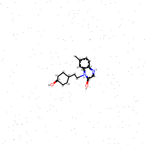 Cc1ccc2ncc(=O)n(CCC3CCC(=O)CC3)c2c1